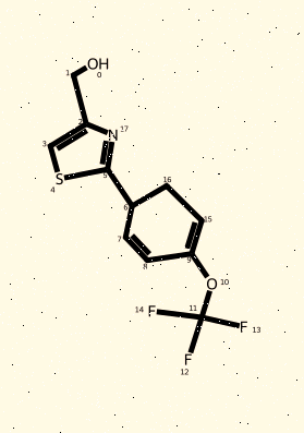 OCc1csc(C2C=CC(OC(F)(F)F)=CC2)n1